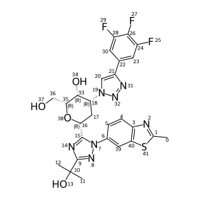 Cc1nc2ccc(-n3nc(C(C)(C)O)nc3[C@H]3C[C@@H](n4cc(-c5cc(F)c(F)c(F)c5)nn4)[C@@H](O)[C@@H](CO)O3)cc2s1